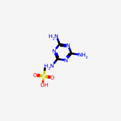 CS(=O)(=O)O.Nc1nc(N)nc(N)n1